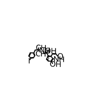 CC(C)(Cc1ccc(I)cc1)NCC(O)c1ccc(O)c2[nH]c(=O)ccc12